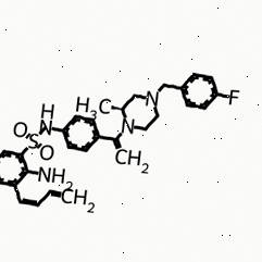 C=C/C=C\c1cccc(S(=O)(=O)Nc2ccc(C(=C)N3CCN(Cc4ccc(F)cc4)C[C@@H]3C)cc2)c1N